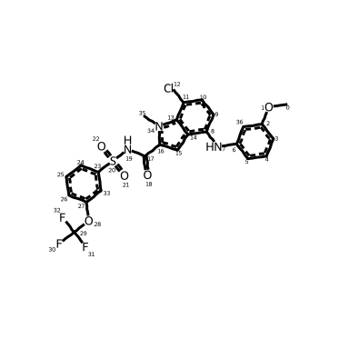 COc1cccc(Nc2ccc(Cl)c3c2cc(C(=O)NS(=O)(=O)c2cccc(OC(F)(F)F)c2)n3C)c1